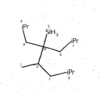 CC(C)CC(C)C([SiH3])(CC(C)C)CC(C)C